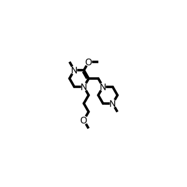 COCCCN1CCN(C)C(OC)=C1CN1CCN(C)CC1